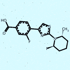 C[C@@H]1CCC[C@@H](I)N1c1nc(-c2ccc(C(=O)O)cc2F)cs1